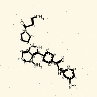 CC=CC(=O)N1CC[C@@H](N2NC(c3ccc(C(=O)Nc4cc(C)ccn4)cc3)=C3C2=CN=CN3N)C1